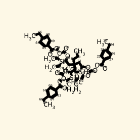 C=C[SiH](C=C)C(CC(CCC)(CC(OC(=O)OOC(=O)c1ccc(CC)cc1)[SiH](C=C)C=C)CC(OC(=O)OOC(=O)c1ccc(CC)cc1)[SiH](C=C)C=C)OC(=O)OOC(=O)c1ccc(CC)cc1